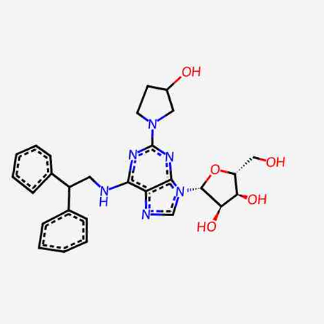 OC[C@H]1O[C@@H](n2cnc3c(NCC(c4ccccc4)c4ccccc4)nc(N4CCC(O)C4)nc32)[C@H](O)[C@@H]1O